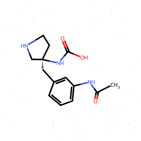 CC(=O)Nc1cccc(C[C@@]2(NC(=O)O)CCNC2)c1